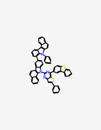 c1ccc(-c2cc3nc(-n4c5ccc(-c6cccc7c8c9ccccc9ccc8n(-c8ccccc8)c67)cc5c5ccc6ccccc6c54)nc(-c4ccc5sc6ccccc6c5c4)c3s2)cc1